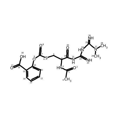 CC(=O)NC(CSC(=O)Oc1ccccc1C(=O)O)C(=O)NC(=N)NC(=N)N(C)C